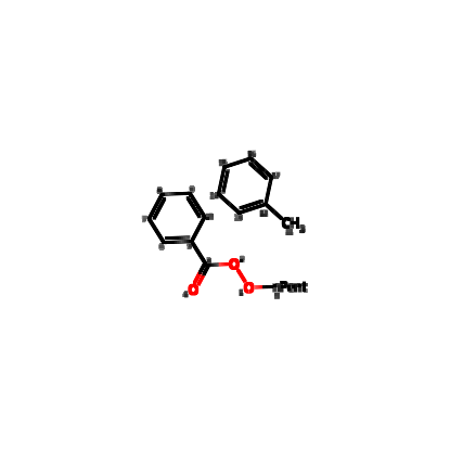 CCCCCOOC(=O)c1ccccc1.Cc1ccccc1